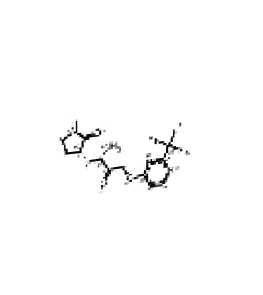 N[C@@H](C[C@@H]1CCNC1=O)C(=O)COc1ccnc(C(F)(F)F)n1